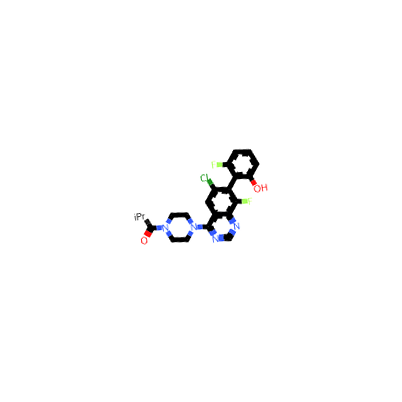 CC(C)C(=O)N1CCN(c2ncnc3c(F)c(-c4c(O)cccc4F)c(Cl)cc23)CC1